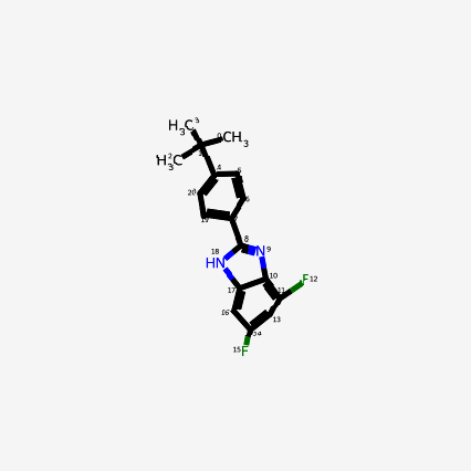 CC(C)(C)c1ccc(-c2nc3c(F)cc(F)cc3[nH]2)cc1